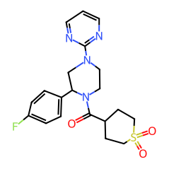 O=C(C1CCS(=O)(=O)CC1)N1CCN(c2ncccn2)CC1c1ccc(F)cc1